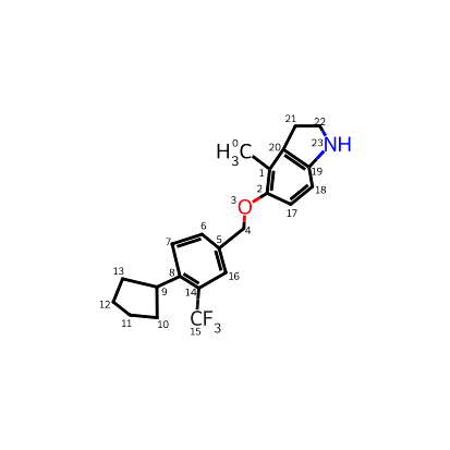 Cc1c(OCc2ccc(C3CCCC3)c(C(F)(F)F)c2)ccc2c1CCN2